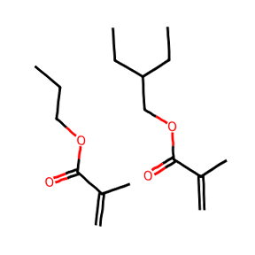 C=C(C)C(=O)OCC(CC)CC.C=C(C)C(=O)OCCC